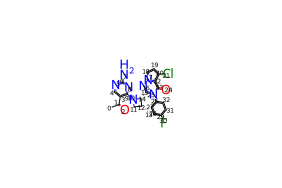 CC(=O)c1cnc(N)nc1N1C[C@@H](C)[C@H]1c1nn2ccc(Cl)c2c(=O)n1-c1ccc(F)cc1